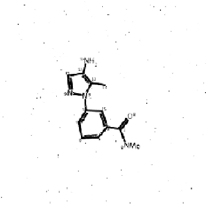 CNC(=O)c1cccc(-n2ncc(N)c2C)c1